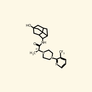 C[C@@H](C(=O)NC1C2CC3CC1CC(O)(C3)C2)N1CCN(c2ncccc2C(F)(F)F)CC1